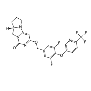 O=c1nc(OCc2cc(F)c(Oc3ccc(C(F)(F)F)nc3)c(F)c2)cc2n1C[C@@H]1CCCN21